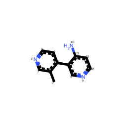 Cc1cnccc1-c1cnccc1N